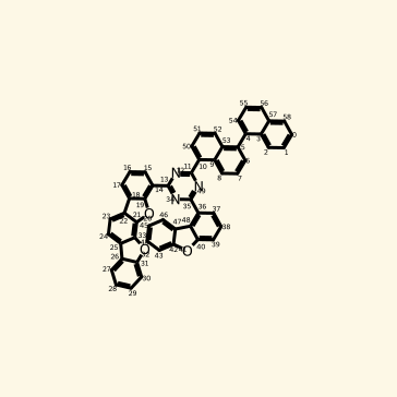 c1ccc2c(-c3cccc4c(-c5nc(-c6cccc7c6oc6c7ccc7c8ccccc8oc76)nc(-c6cccc7oc8ccccc8c67)n5)cccc34)cccc2c1